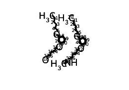 CCCCCCOc1cccc(OCCCCC=O)c1.CCCCCCOc1cccc(OCCCCCNC)c1